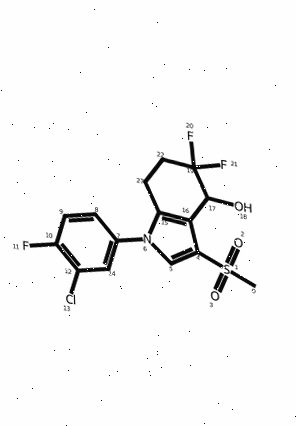 CS(=O)(=O)c1cn(-c2ccc(F)c(Cl)c2)c2c1C(O)C(F)(F)CC2